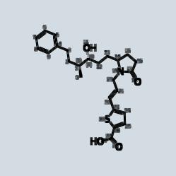 C[C@@H](CCc1ccccc1)[C@H](O)CCC1CCC(=O)N1CC=Cc1ccc(C(=O)O)s1